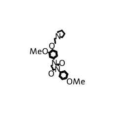 COc1ccc(N2C(=O)CN(c3ccc(OCCN4CCCC4)c(OC)c3)C2=O)cc1